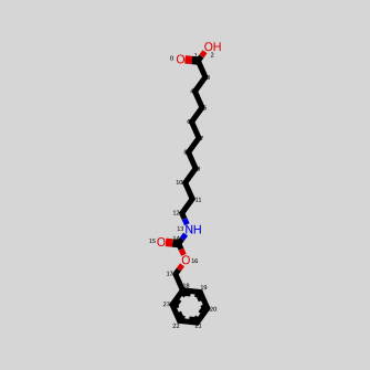 O=C(O)CCCCCCCCCCNC(=O)OCc1ccccc1